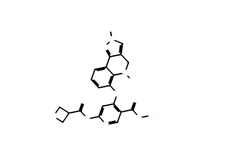 CNC(=O)c1cnc(NC(=O)C2COC2)cc1Nc1cccc2c1N(C)Cc1cn(C)nc1-2